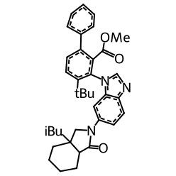 CCC(C)C12CCCCC1C(=O)N(c1ccc3ncn(-c4c(C(C)(C)C)ccc(-c5ccccc5)c4C(=O)OC)c3c1)C2